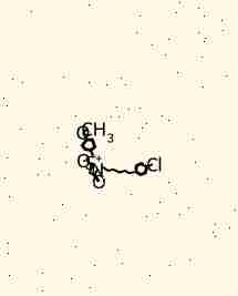 COc1ccc(C[S+]([O-])C2CC(=O)N2CCCCCCc2ccc(Cl)cc2)cc1